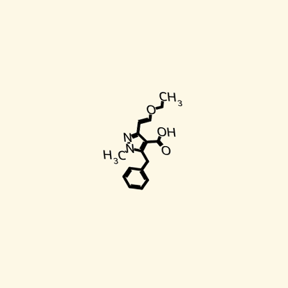 CCOC=Cc1nn(C)c(Cc2ccccc2)c1C(=O)O